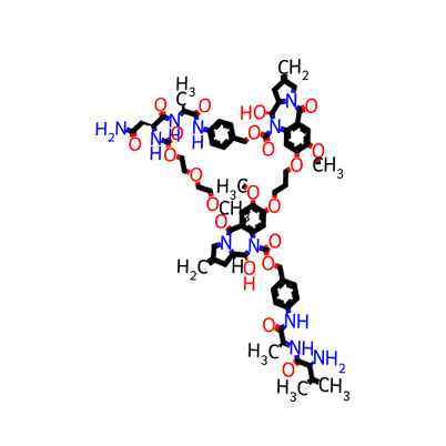 C=C1CC2[C@H](O)N(C(=O)OCc3ccc(NC(=O)[C@H](C)NC(=O)[C@H](CC(N)=O)NC(=O)OCCOCCOC)cc3)c3cc(OCCCOc4cc5c(cc4OC)C(=O)N4CC(=C)C[C@H]4[C@H](O)N5C(=O)OCc4ccc(NC(=O)[C@H](C)NC(=O)[C@@H](N)C(C)C)cc4)c(OC)cc3C(=O)N2C1